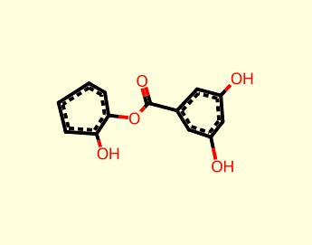 O=C(Oc1ccccc1O)c1cc(O)cc(O)c1